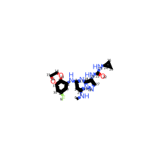 CNc1cc(Nc2cc(F)cc3c2OCCO3)nc2c(NC(=O)NC3CC3)cnn12